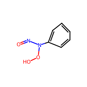 O=NN(OO)c1ccccc1